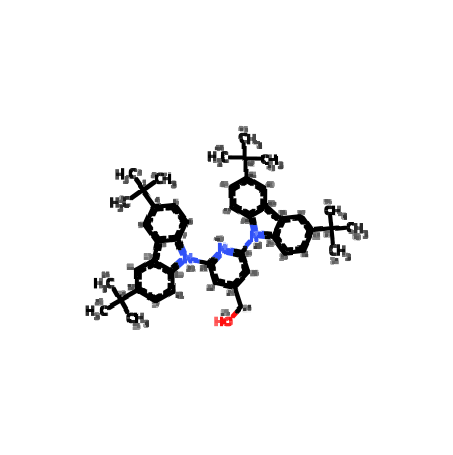 CC(C)(C)c1ccc2c(c1)c1cc(C(C)(C)C)ccc1n2-c1cc(CO)cc(-n2c3ccc(C(C)(C)C)cc3c3cc(C(C)(C)C)ccc32)n1